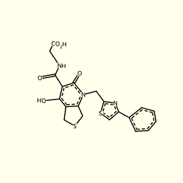 O=C(O)CNC(=O)c1c(O)c2c(n(Cc3nc(-c4ccccc4)cs3)c1=O)CSC2